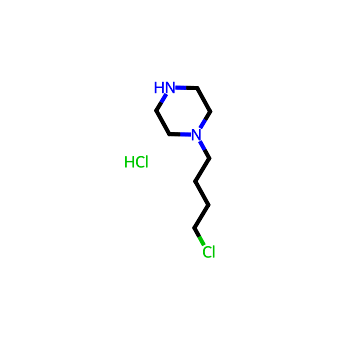 Cl.ClCCCCN1CCNCC1